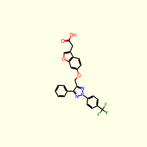 O=C(O)Cc1coc2cc(OCc3nn(-c4ccc(C(F)(F)F)cc4)nc3-c3ccccc3)ccc12